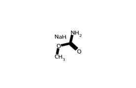 COC(N)=O.[NaH]